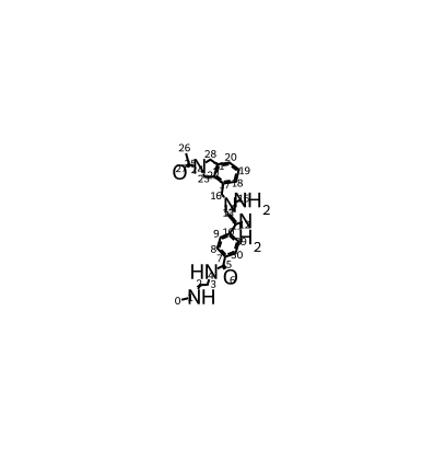 CNCCNC(=O)c1ccc(/C(N)=C/N(N)Cc2cccc3c2CN(C(C)=O)C3)cc1